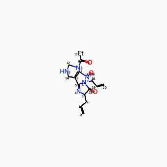 C=CCC1N=C2C3=C(N(C(=O)CC)CNC3)[N+](=O)[N+]2(CC=C)C1=O